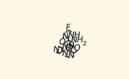 CN1CC(F)CNC1C(C(=O)Nc1cnccc1N1CCN(C)C2(CCOCC2)C1)C(N)N=O